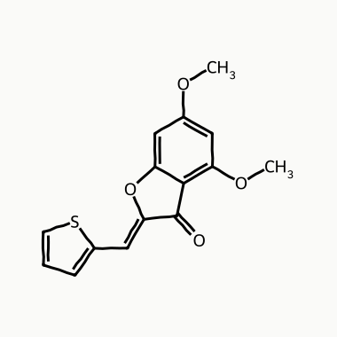 COc1cc(OC)c2c(c1)O/C(=C\c1cccs1)C2=O